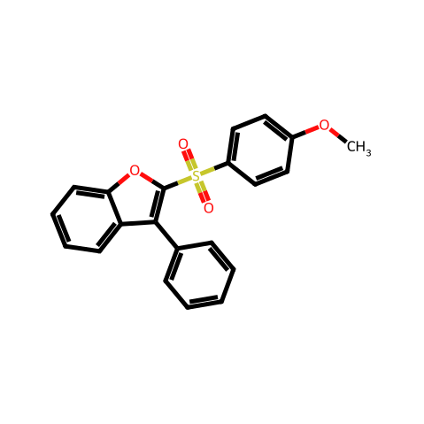 COc1ccc(S(=O)(=O)c2oc3ccccc3c2-c2ccccc2)cc1